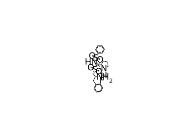 NC(Cc1ccccc1F)CS(=O)(=O)[C@H](NS(=O)(=O)c1ccccc1)C1CCCN1